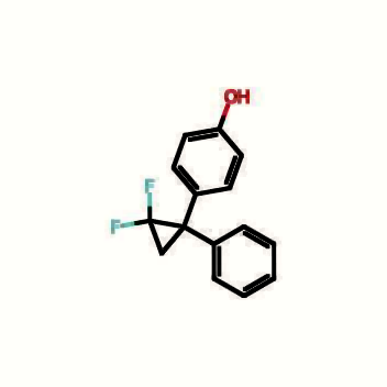 Oc1ccc(C2(c3ccccc3)CC2(F)F)cc1